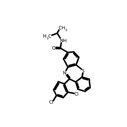 CC(C)NC(=O)c1ccc2c(c1)N=C(c1ccc(Cl)cc1Cl)c1ccccc1S2